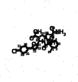 Cc1ccccc1C(=O)N1C(c2ccc(-c3ccc(Cl)cc3)o2)C(C(=O)O)CC1(CCC(N)=O)C(=O)O